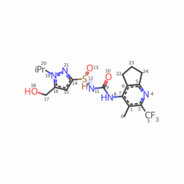 Cc1c(C(F)(F)F)nc2c(c1NC(=O)/N=[SH](=O)/c1cc(CO)n(C(C)C)n1)CCC2